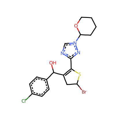 OC(C1=C(c2ncn(C3CCCCO3)n2)SC(Br)C1)c1ccc(Cl)cc1